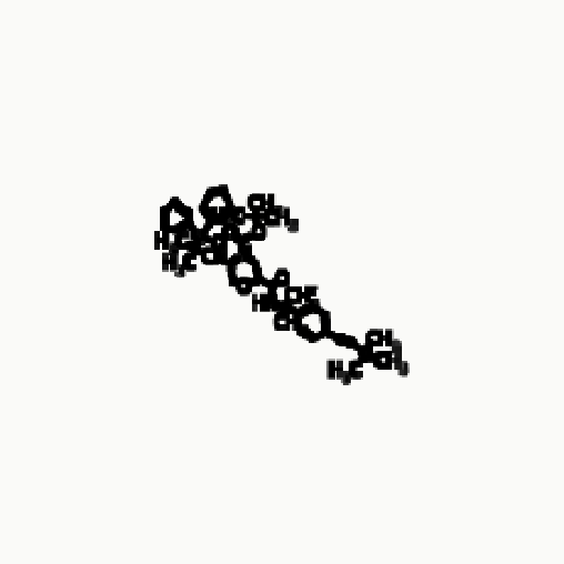 CC(C)(C)OC(=O)N1C[C@@H](C(=O)NC(C)(C)c2ccc(C#C[Si](C)(C)C)cc2F)OC[C@H]1CO[Si](c1ccccc1)(c1ccccc1)C(C)(C)C